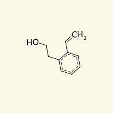 C=Cc1ccccc1CCO